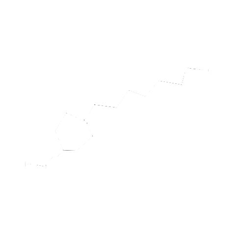 CCOCCCCCCN1CCC(=NO)CC1